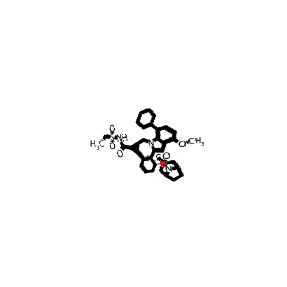 CCS(=O)(=O)NC(=O)C1=C2Cn3c(cc4c(OC)ccc(C5CCCCC5)c43)C3C(=C21)C=CC[C@H]3C(=O)N1C2CCC1CN(C)C2